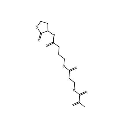 C=C(C)C(=O)OCCC(=O)OCCCC(=O)OC1CCOC1=O